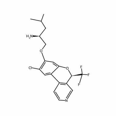 CC(C)C[C@H](N)COc1cc2c(cc1Cl)-c1ccncc1[C@H](C(F)(F)F)O2